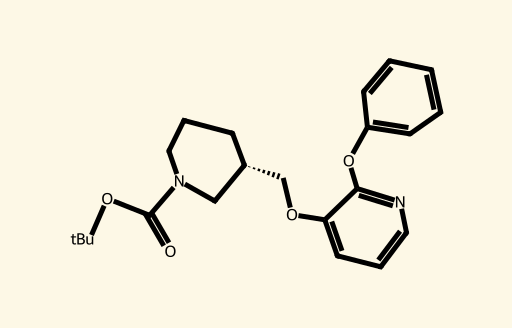 CC(C)(C)OC(=O)N1CCC[C@H](COc2cccnc2Oc2ccccc2)C1